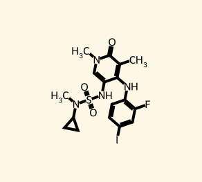 Cc1c(Nc2ccc(I)cc2F)c(NS(=O)(=O)N(C)C2CC2)cn(C)c1=O